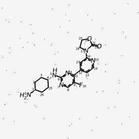 N[C@H]1CC[C@H](Nc2ncc(F)c(-c3ccnc(N4CCOC4=O)c3)n2)CC1